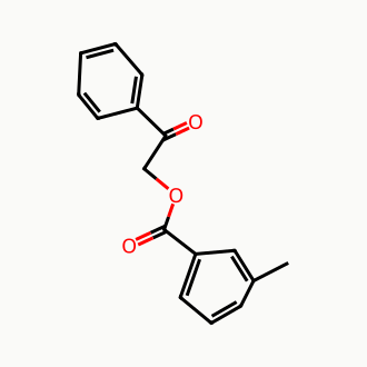 Cc1cccc(C(=O)OCC(=O)c2ccccc2)c1